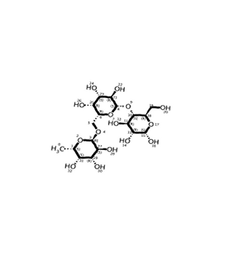 C[C@@H]1O[C@@H](OC[C@H]2O[C@@H](O[C@H]3[C@H](O)[C@@H](O)[C@@H](O)O[C@@H]3CO)[C@H](O)[C@@H](O)[C@H]2O)[C@@H](O)[C@H](O)[C@@H]1O